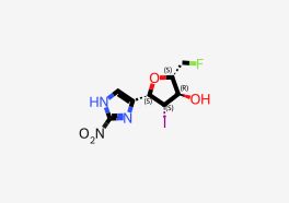 O=[N+]([O-])c1nc([C@@H]2O[C@H](CF)[C@@H](O)[C@@H]2I)c[nH]1